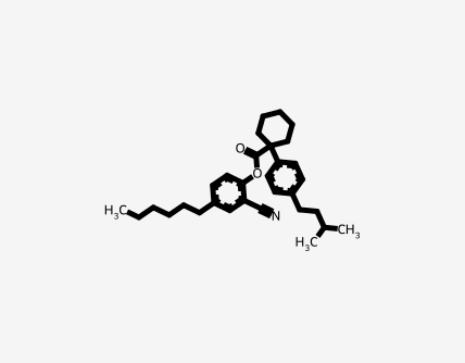 CCCCCCc1ccc(OC(=O)C2(c3ccc(CCC(C)C)cc3)CCCCC2)c(C#N)c1